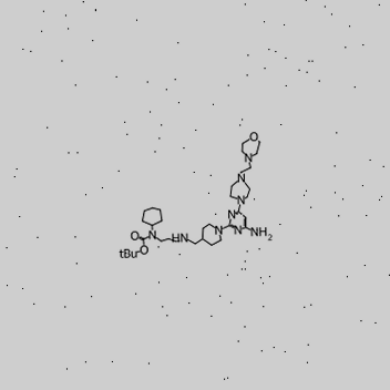 CC(C)(C)OC(=O)N(CCCNCC1CCN(c2nc(N)cc(N3CCN(CCN4CCOCC4)CC3)n2)CC1)C1CCCCC1